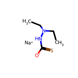 CCN(CC)NC([O-])=S.[Na+]